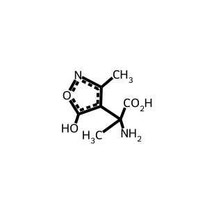 Cc1noc(O)c1C(C)(N)C(=O)O